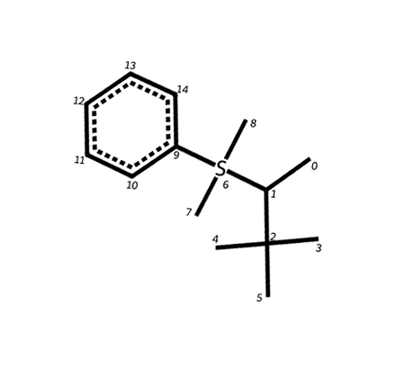 CC(C(C)(C)C)S(C)(C)c1ccccc1